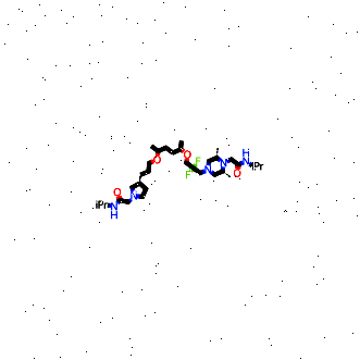 CC(C)NC(=O)CN1CC[C@@H](CCCOC(C)CCC(C)OCC(F)(F)CN2C[C@@H](C)N(CC(=O)NC(C)C)[C@@H](C)C2)C1